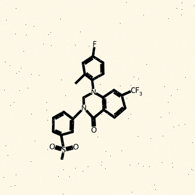 Cc1cc(F)ccc1N1CN(c2cccc(S(C)(=O)=O)c2)C(=O)c2ccc(C(F)(F)F)cc21